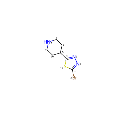 Brc1nnc(C2CCNCC2)s1